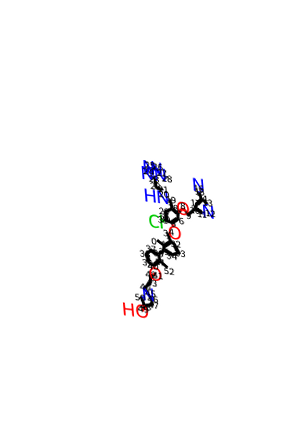 Cc1c(COc2cc(OCc3cncc(C#N)c3)c(CNCCc3nnnn3C)cc2Cl)cccc1-c1cccc(OCCCN2CCC(O)C2)c1C